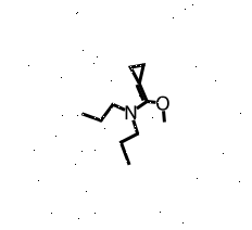 CCCN(CCC)C(OC)=C1CC1